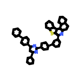 c1ccc(-c2ccc(-c3cc(-c4ccccc4)nc(-c4ccc(-c5cccc(-c6nc7ccc8ccccc8c7c7c6sc6ccccc67)c5)cc4)n3)cc2)cc1